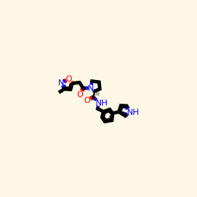 Cc1cc(CC(=O)N2CCC[C@H]2C(=O)NCc2cccc(-c3cc[nH]c3)c2)on1